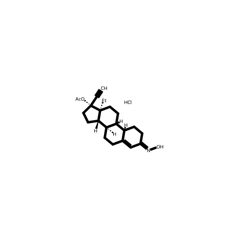 C#C[C@]1(OC(C)=O)CC[C@H]2[C@@H]3CCC4=C/C(=N/O)CC[C@@H]4[C@H]3CC[C@@]21CC.Cl